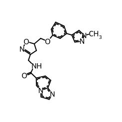 Cn1cc(-c2cccc(OCC3CC(CNC(=O)c4ccc5nccn5c4)=NO3)c2)cn1